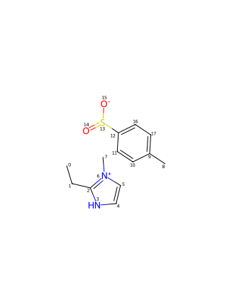 CCc1[nH]cc[n+]1C.Cc1ccc(S(=O)[O-])cc1